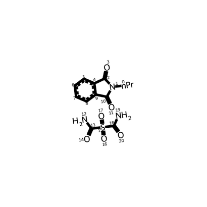 CCCN1C(=O)c2ccccc2C1=O.NC(=O)S(=O)(=O)C(N)=O